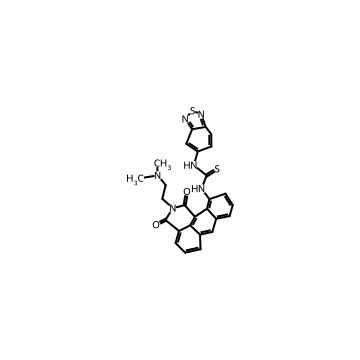 CN(C)CCN1C(=O)c2cccc3cc4cccc(NC(=S)Nc5ccc6nsnc6c5)c4c(c23)C1=O